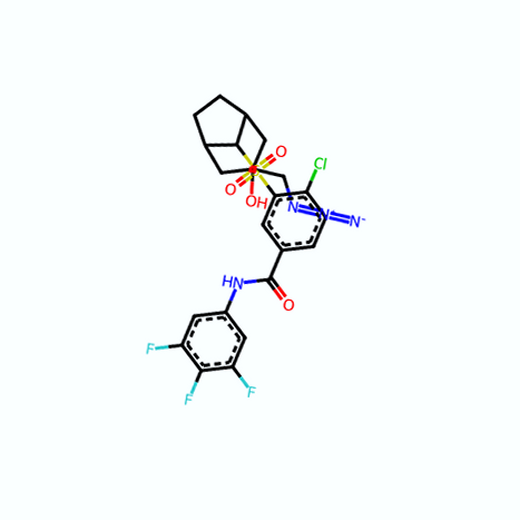 [N-]=[N+]=NCC1(O)CC2CCC(C1)C2S(=O)(=O)c1cc(C(=O)Nc2cc(F)c(F)c(F)c2)ccc1Cl